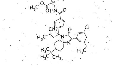 CCC1C=C(C2=NC3(CCC(C(C)(C)C)CC3)N(C(CC(C)C)c3ccc(C(=O)NC[C@H](C)C(=O)OC)cc3)C2=O)C=C(Cl)C1